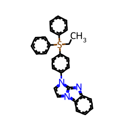 CCS(c1ccccc1)(c1ccccc1)c1ccc(-n2ccn3c4ccccc4nc23)cc1